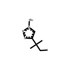 CC(C)(CI)c1cn(C(C)(C)C)nn1